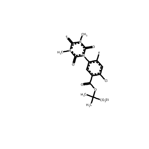 CCOC(=O)C(C)(C)OC(=O)c1cc(-n2c(=O)n(C)c(=S)n(C)c2=O)c(F)cc1Cl